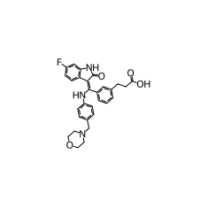 O=C(O)CCc1cccc(C(Nc2ccc(CN3CCOCC3)cc2)=C2C(=O)Nc3cc(F)ccc32)c1